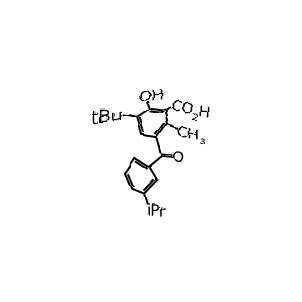 Cc1c(C(=O)c2cccc(C(C)C)c2)cc(C(C)(C)C)c(O)c1C(=O)O